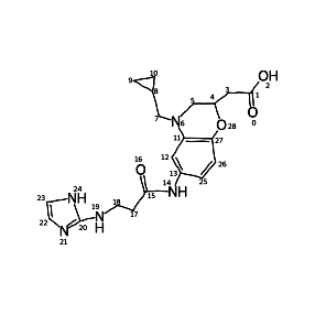 O=C(O)CC1CN(CC2CC2)c2cc(NC(=O)CCNc3ncc[nH]3)ccc2O1